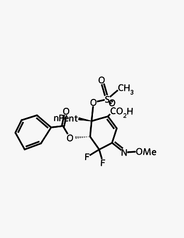 CCCCC[C@@]1(OS(C)(=O)=O)C(C(=O)O)=C/C(=N\OC)C(F)(F)[C@@H]1OC(=O)c1ccccc1